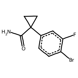 NC(=O)C1(c2ccc(Br)c(F)c2)CC1